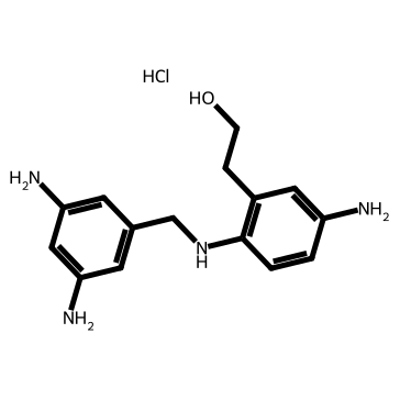 Cl.Nc1cc(N)cc(CNc2ccc(N)cc2CCO)c1